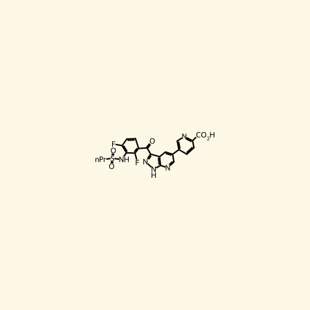 CCCS(=O)(=O)Nc1c(F)ccc(C(=O)c2n[nH]c3ncc(-c4ccc(C(=O)O)nc4)cc23)c1F